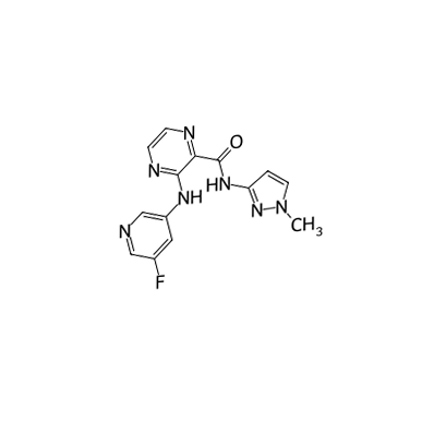 Cn1ccc(NC(=O)c2nccnc2Nc2cncc(F)c2)n1